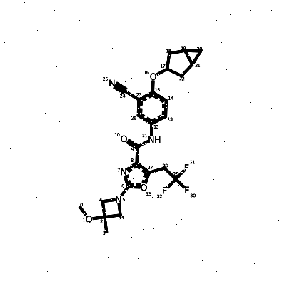 COC1(C)CN(c2nc(C(=O)Nc3ccc(OC4CC5CC5C4)c(C#N)c3)c(CC(F)(F)F)o2)C1